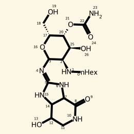 CCCCCCN[C@H]1C(/N=C2\NC3C(=O)NCC(O)C3N2)O[C@H](CO)[C@H](OC(N)=O)[C@H]1O